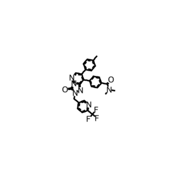 Cc1ccc(-c2cnn3c(=O)n(Cc4ccc(C(F)(F)F)nc4)nc3c2-c2ccc(C(=O)N(C)C)cc2)cc1